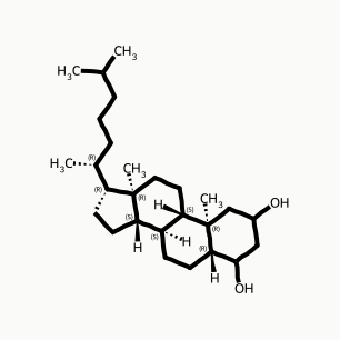 CC(C)CCC[C@@H](C)[C@H]1CC[C@H]2[C@@H]3CC[C@H]4C(O)CC(O)C[C@]4(C)[C@H]3CC[C@]12C